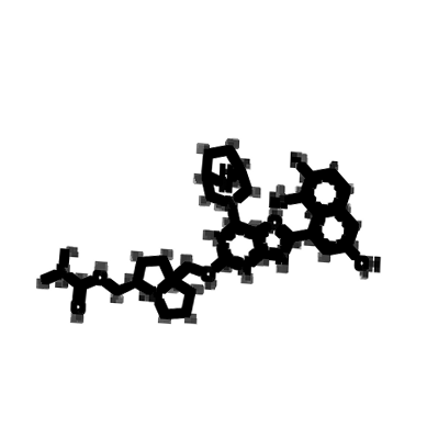 CCc1c(F)ccc2cc(O)cc(-c3nc4nc(OCC56CCCN5[C@@H](COC(=O)N(C)C)CC6)nc(N5CC6CCC(C5)N6)c4o3)c12